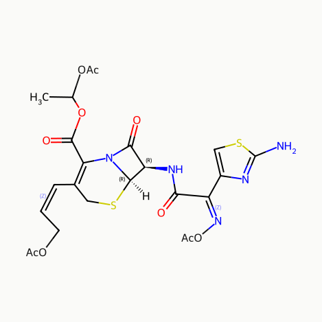 CC(=O)OC/C=C\C1=C(C(=O)OC(C)OC(C)=O)N2C(=O)[C@@H](NC(=O)/C(=N\OC(C)=O)c3csc(N)n3)[C@H]2SC1